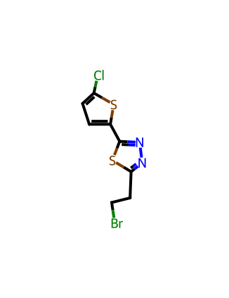 Clc1ccc(-c2nnc(CCBr)s2)s1